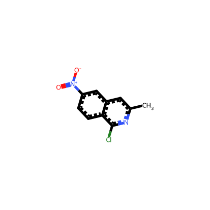 Cc1cc2cc([N+](=O)[O-])ccc2c(Cl)n1